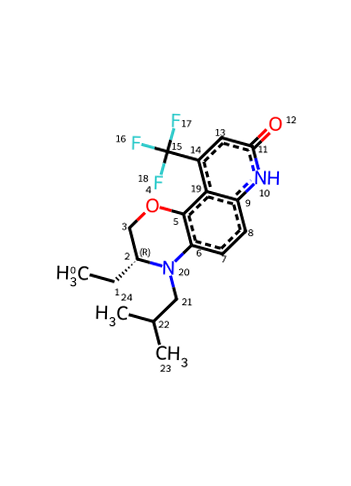 CC[C@@H]1COc2c(ccc3[nH]c(=O)cc(C(F)(F)F)c23)N1CC(C)C